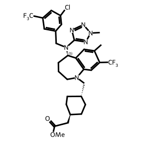 COC(=O)C[C@H]1CC[C@H](CN2CCC[C@H](N(Cc3cc(Cl)cc(C(F)(F)F)c3)c3nnn(C)n3)c3cc(C)c(C(F)(F)F)cc32)CC1